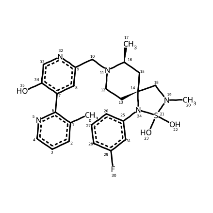 Cc1cccnc1-c1cc(CN2CC[C@@]3(C[C@@H]2C)CN(C)S(O)(O)N3c2cccc(F)c2)ncc1O